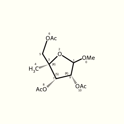 COC1O[C@](C)(COC(C)=O)[C@@H](OC(C)=O)[C@H]1OC(C)=O